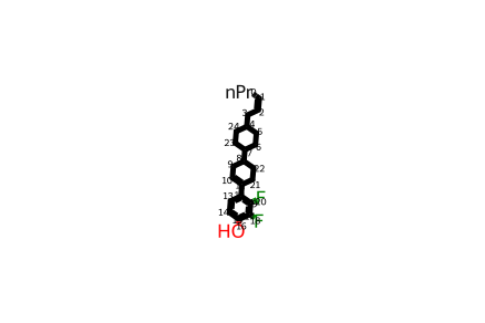 CCC/C=C\CC1CCC(C2CC=C(c3ccc(O)c(F)c3F)CC2)CC1